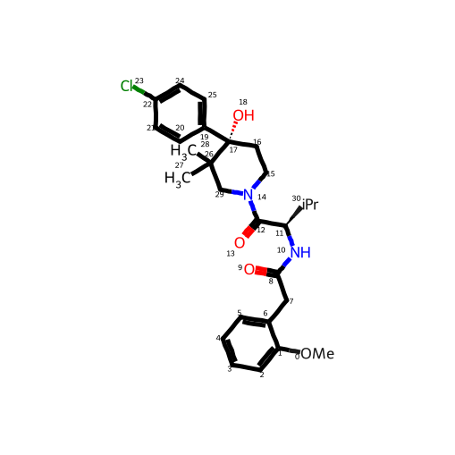 COc1ccccc1CC(=O)N[C@@H](C(=O)N1CC[C@](O)(c2ccc(Cl)cc2)C(C)(C)C1)C(C)C